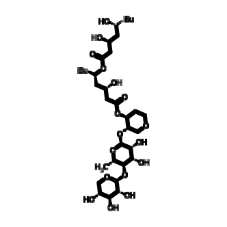 CC[C@H](C)[C@H](C[C@H](O)CC(=O)O[C@H]1CCOC[C@@H]1O[C@@H]1O[C@@H](C)[C@H](O[C@@H]2OC[C@@H](O)[C@H](O)[C@H]2O)[C@@H](O)[C@H]1O)OC(=O)C[C@@H](O)C[C@H](O)[C@@H](C)CC